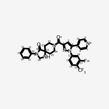 O=C(c1cc(-c2ccncc2)n(-c2ccc(C(F)(F)F)c(F)c2)n1)N1CCC2(CC1)NCN(c1ccccc1)C2=O